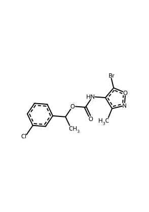 Cc1noc(Br)c1NC(=O)OC(C)c1cccc(Cl)c1